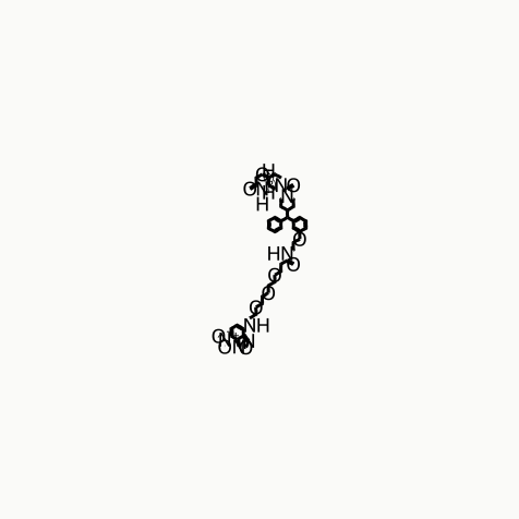 O=C(CCOCCOCCOCCNc1ccc([N+](=O)[O-])c2nonc12)NCCOc1cccc(C(c2ccccc2)C2CCN(C(=O)N3CC[C@@H]4OCC(=O)N[C@@H]4C3)CC2)c1